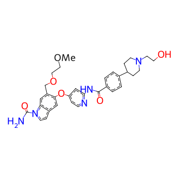 COCCOCc1cc2c(ccn2C(N)=O)cc1Oc1ccnc(NC(=O)c2ccc(C3CCN(CCO)CC3)cc2)c1